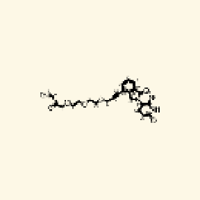 CC(C)(C)OC(=O)COCCOCCOCC#Cc1cccc2c1CN(C1CCC(=O)NC1=O)C2=O